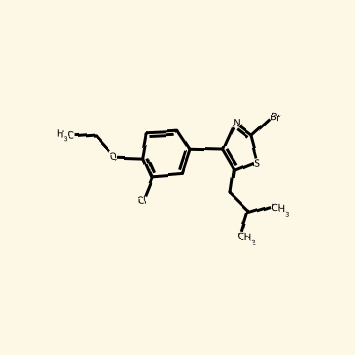 CCOc1ccc(-c2nc(Br)sc2CC(C)C)cc1Cl